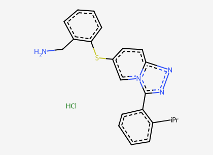 CC(C)c1ccccc1-c1nnc2ccc(Sc3ccccc3CN)cn12.Cl